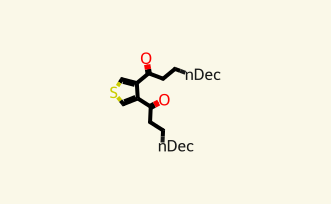 CCCCCCCCCCCCC(=O)c1cscc1C(=O)CCCCCCCCCCCC